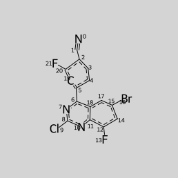 N#Cc1ccc(-c2nc(Cl)nc3c(F)cc(Br)cc23)cc1F